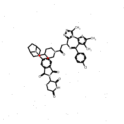 Cc1sc2c(c1C)C(c1ccc(Cl)cc1)=N[C@@H](CC(=O)N1CCC(CN3C4CCC3CN(c3ccc5c(c3)C(=O)N(C3CCC(=O)NC3=O)C5=O)C4)CC1)c1nnc(C)n1-2